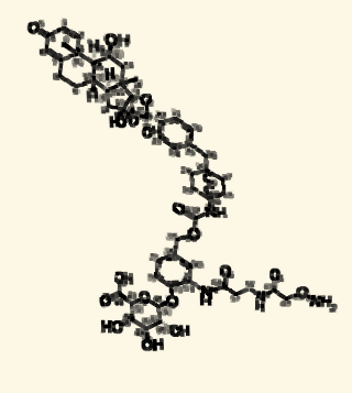 C[C@]12C=CC(=O)C=C1CC[C@@H]1[C@@H]2[C@@H](O)C[C@@]2(C)[C@H]1C[C@H]1O[C@@H](c3ccc(CC45CCC(NC(=O)OCc6ccc(O[C@@H]7O[C@H](C(=O)O)[C@@H](O)[C@H](O)[C@H]7O)c(NC(=O)CCNC(=O)CON)c6)(CC4)CC5)cc3)O[C@]12C(=O)CO